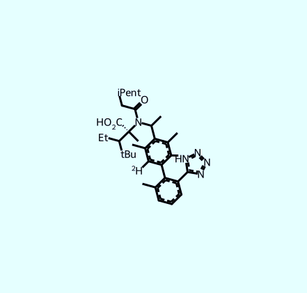 [2H]c1c(C)c(C(C)N(C(=O)CC(C)CCC)[C@](C)(C(=O)O)C(CC)C(C)(C)C)c(C)c(C)c1-c1c(C)cccc1-c1nnn[nH]1